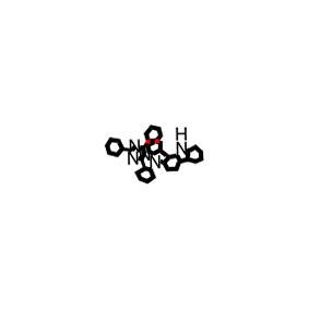 c1ccc(-c2nc(-c3ccccc3)nc(-c3ccccc3-n3c4ccccc4c4c5[nH]c6ccccc6c5ccc43)n2)cc1